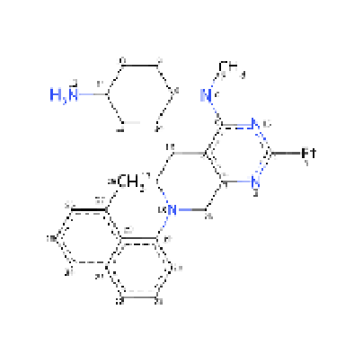 CCc1nc2c(c(N(C)C3CCC(N)CC3)n1)CCN(c1cccc3cccc(C)c13)C2